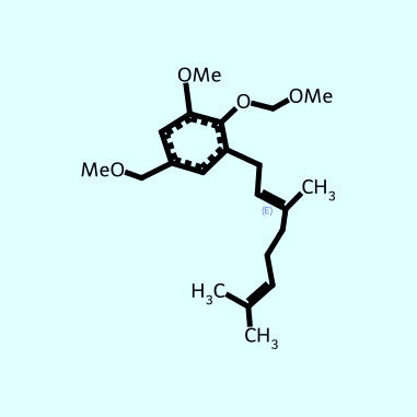 COCOc1c(C/C=C(\C)CCC=C(C)C)cc(COC)cc1OC